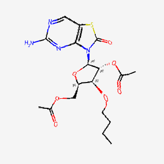 CCCCO[C@@H]1[C@@H](OC(C)=O)[C@H](n2c(=O)sc3cnc(N)nc32)O[C@@H]1COC(C)=O